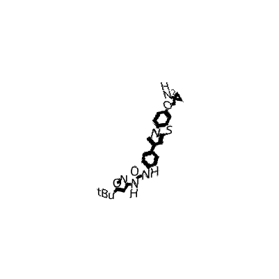 CC(C)(C)c1cc(NC(=O)Nc2ccc(-c3cc4sc5cc(OCC6(N)CC6)ccc5n4c3)cc2)no1